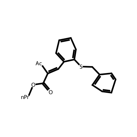 CCCOC(=O)/C(=C/c1ccccc1SCc1ccccc1)C(C)=O